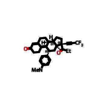 CCC(=O)[C@@]1(C#CC(F)(F)F)CC[C@H]2[C@@H]3CCC4=CC(=O)CCC4=C3[C@@H](c3ccc(NC)cc3)C[C@@]21C